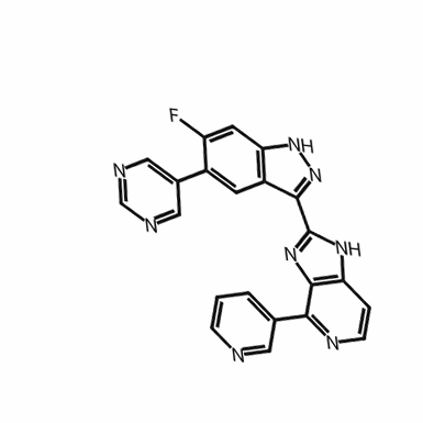 Fc1cc2[nH]nc(-c3nc4c(-c5cccnc5)nccc4[nH]3)c2cc1-c1cncnc1